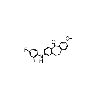 COc1ccc2c(c1)C(=O)c1ccc(Nc3ccc(F)cc3C)cc1CC2